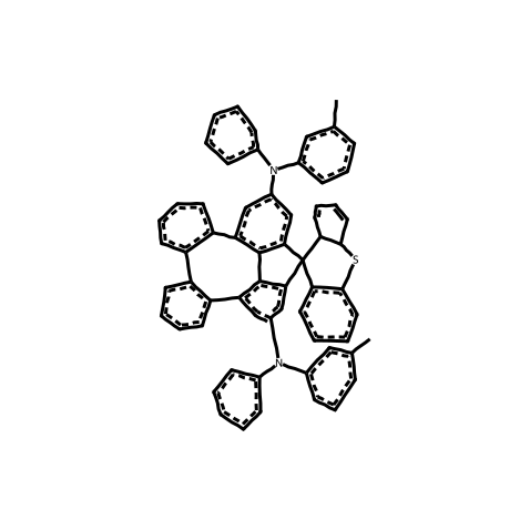 Cc1cccc(N(c2ccccc2)c2cc3c4c(c2)C2(c5ccccc5SC5C=CC=CC52)c2cc(N(c5ccccc5)c5cccc(C)c5)cc(c2-4)-c2ccccc2-c2ccccc2-3)c1